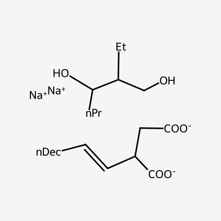 CCCC(O)C(CC)CO.CCCCCCCCCCC=CC(CC(=O)[O-])C(=O)[O-].[Na+].[Na+]